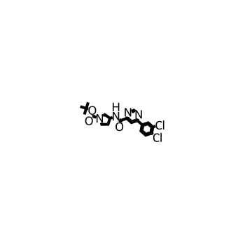 CC(C)(C)OC(=O)N1CCC(NC(=O)c2cc(-c3ccc(Cl)c(Cl)c3)ncn2)C1